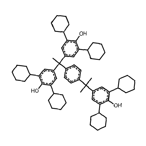 CC(C)(c1ccc(C(C)(c2cc(C3CCCCC3)c(O)c(C3CCCCC3)c2)c2cc(C3CCCCC3)c(O)c(C3CCCCC3)c2)cc1)c1cc(C2CCCCC2)c(O)c(C2CCCCC2)c1